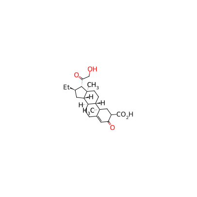 CC[C@@H]1C[C@H]2[C@@H]3CCC4=CC(=O)C(C(=O)O)C[C@]4(C)[C@H]3CC[C@]2(C)[C@H]1C(=O)CO